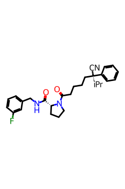 CC(C)[C@@](C#N)(CCCCC(=O)N1CCC[C@@H]1C(=O)NCc1cccc(F)c1)c1ccccc1